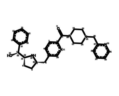 O=C(c1ccc(C[C@@H]2CC[C@H]([C@H](O)c3ccccc3)N2)cn1)N1CCN(Cc2ccccn2)CC1